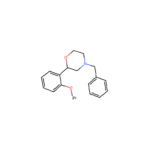 CC(C)Oc1ccccc1C1CN(Cc2ccccc2)CCO1